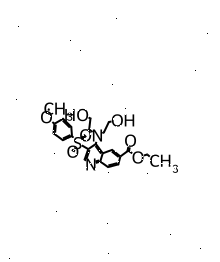 CCOC(=O)c1ccc2ncc(S(=O)(=O)c3ccc(OC)cc3)c(N(CCO)CCO)c2c1